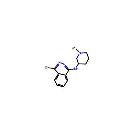 CC(C)N1CCCC(Nc2nnc(Cl)c3ccccc23)C1